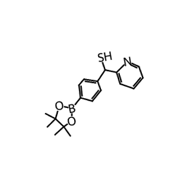 CC1(C)OB(c2ccc(C(S)c3ccccn3)cc2)OC1(C)C